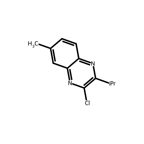 Cc1ccc2nc(C(C)C)c(Cl)nc2c1